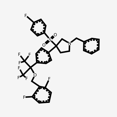 O=S(=O)(c1ccc(F)cc1)C1(c2ccc(C(OCc3c(F)cccc3F)(C(F)(F)F)C(F)(F)F)cc2)CCN(Cc2ccccc2)C1